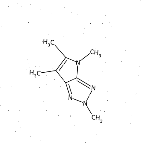 Cc1c(C)n(C)c2nn(C)nc12